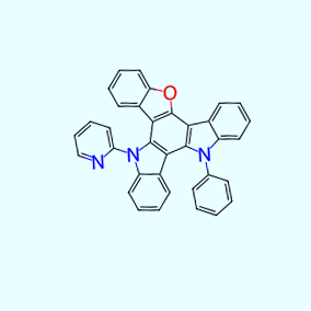 c1ccc(-n2c3ccccc3c3c4oc5ccccc5c4c4c(c5ccccc5n4-c4ccccn4)c32)cc1